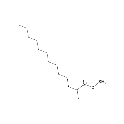 CCCCCCCCCCCC(C)[SiH2]O[SiH3]